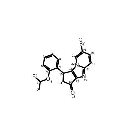 CC(F)Oc1ccccc1C1CC(=O)c2nc3ccc(Br)cn3c21